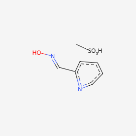 CS(=O)(=O)O.ON=Cc1ccccn1